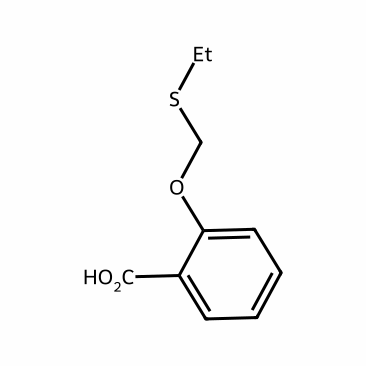 CCSCOc1ccccc1C(=O)O